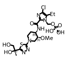 CCc1c(Cl)nc(C(=O)N[C@@H]2CCN(c3nnc([C@](C)(O)CO)s3)C[C@@H]2OC)n1COP(=O)(O)O